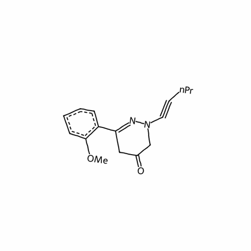 CCCC#CN1CC(=O)CC(c2ccccc2OC)=N1